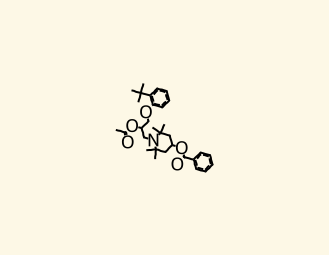 CC(=O)OC(COc1ccccc1C(C)(C)C)CN1C(C)(C)CC(OC(=O)c2ccccc2)CC1(C)C